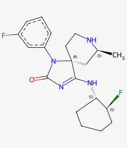 C[C@H]1C[C@]2(CCN1)C(N[C@H]1CCCC[C@@H]1F)=NC(=O)N2c1cccc(F)c1